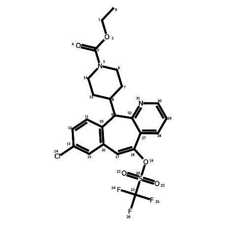 CCOC(=O)N1CCC(C2c3ccc(Cl)cc3C=C(OS(=O)(=O)C(F)(F)F)c3cccnc32)CC1